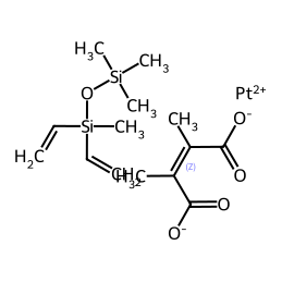 C/C(C(=O)[O-])=C(\C)C(=O)[O-].C=C[Si](C)(C=C)O[Si](C)(C)C.[Pt+2]